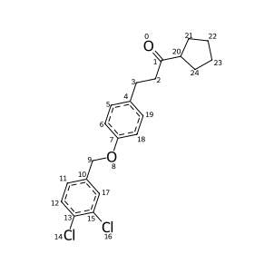 O=C(CCc1ccc(OCc2ccc(Cl)c(Cl)c2)cc1)C1CCCC1